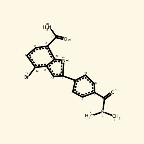 CN(C)C(=O)c1ccc(-c2cc3c(Br)ccc(C(N)=O)c3[nH]2)cc1